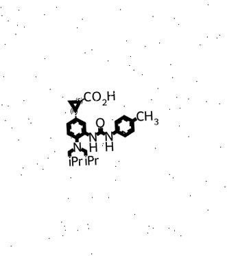 Cc1ccc(NC(=O)Nc2cc([C@@H]3C[C@@H]3C(=O)O)ccc2N(CC(C)C)CC(C)C)cc1